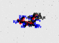 CC[C@H](C)[C@H](NC(=O)[C@H](CS)NC(=O)[C@H](CCCCN)NC(=O)[C@H](CCCNC(=N)N)NC(=O)[C@@H](NC(=O)[C@@H](NC(=O)[C@H](Cc1c[nH]cn1)NC(=O)[C@H](C)NC(=O)CNC(=O)[C@H](CC(N)=O)NC(=O)[C@@H](N)CCC(N)=O)C(C)C)C(C)C)C(=O)N[C@@H](CCC(=O)O)C(=O)N[C@@H](CS)C(=O)N[C@H](C(=O)O)C(C)C